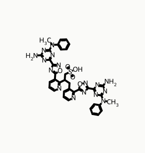 CN(c1ccccc1)c1nc(N)nc(-c2noc(-c3cccnc3C(Cc3cccnc3-c3nc(-c4nc(N)nc(N(C)c5ccccc5)n4)no3)CS(=O)(=O)O)n2)n1